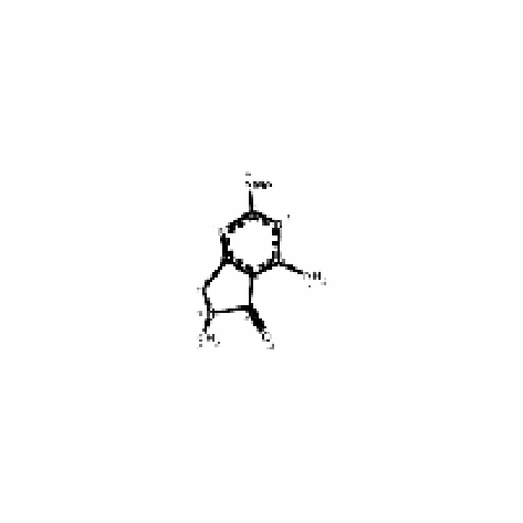 CSc1nc(N)c2c(n1)CN(C)C2=O